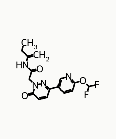 C=C(CC)NC(=O)Cn1nc(-c2ccc(OC(F)F)nc2)ccc1=O